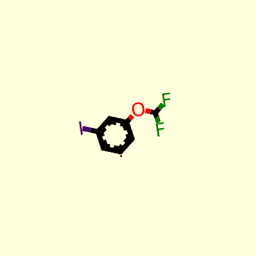 FC(F)Oc1c[c]cc(I)c1